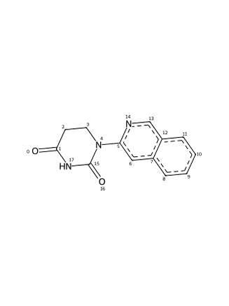 O=C1CCN(c2cc3ccccc3cn2)C(=O)N1